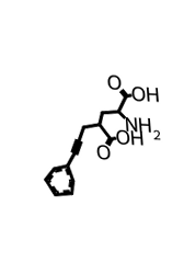 NC(CC(CC#Cc1ccccc1)C(=O)O)C(=O)O